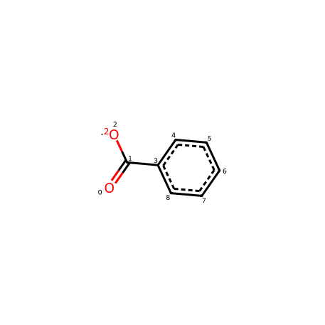 O=C([2O])c1ccccc1